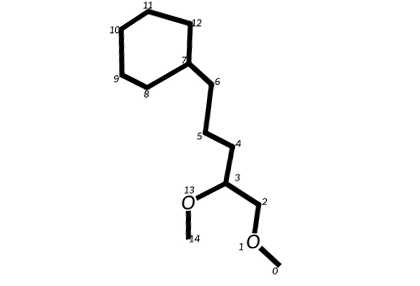 COCC(CCCC1CCCCC1)OC